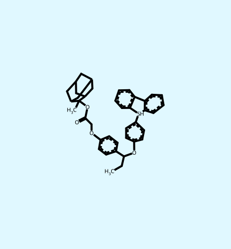 CCC(Oc1ccc([SH]2c3ccccc3-c3ccccc32)cc1)c1ccc(OCC(=O)OC2(C)C3CC4CC(C3)CC2C4)cc1